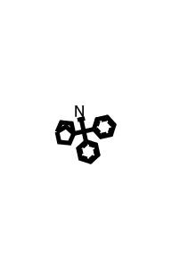 N#CC(c1ccccc1)(c1ccccc1)C12CCC(CC1)C2